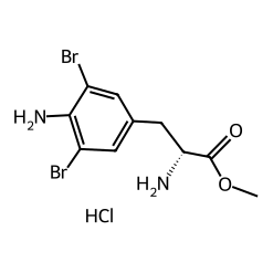 COC(=O)[C@H](N)Cc1cc(Br)c(N)c(Br)c1.Cl